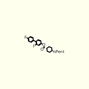 CCCCC[C@H]1CC[C@H](C(=O)Oc2ccc(-c3ccc(F)cc3)c(F)c2)CC1